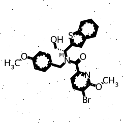 COc1ccc(CN(C(=O)c2ccc(Br)c(OC)n2)[C@H](CO)c2cc3ccccc3s2)cc1